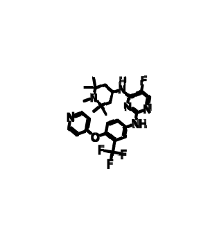 CN1C(C)(C)CC(Nc2nc(Nc3ccc(Oc4ccncc4)c(C(F)(F)F)c3)ncc2F)CC1(C)C